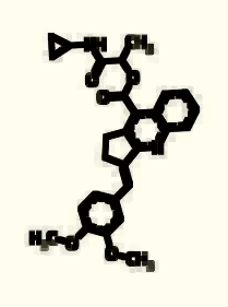 COc1ccc(/C=C2\CCc3c2nc2ccccc2c3C(=O)OC(C)C(=O)NC2CC2)cc1OC